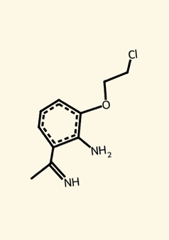 CC(=N)c1cccc(OCCCl)c1N